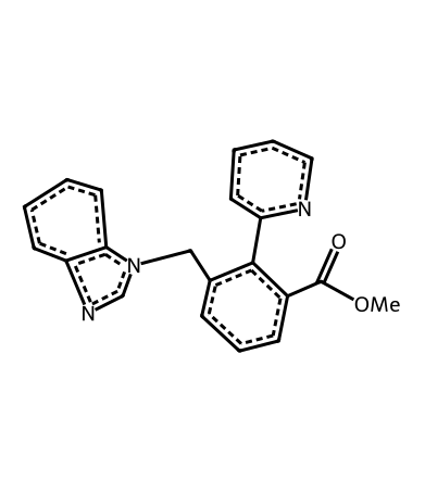 COC(=O)c1cccc(Cn2cnc3ccccc32)c1-c1ccccn1